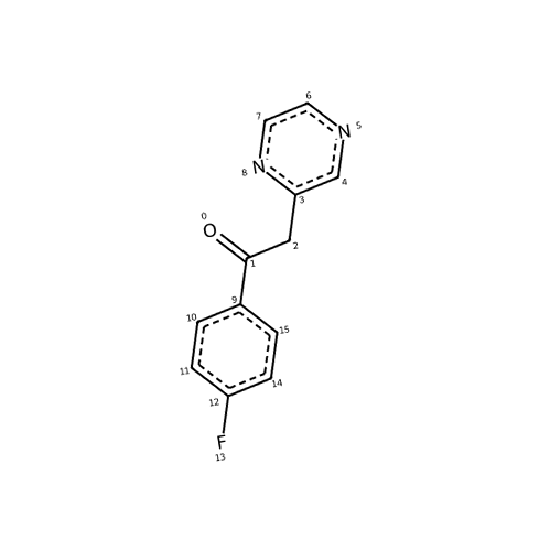 O=C(Cc1cnccn1)c1ccc(F)cc1